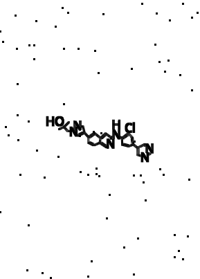 CC(C)(O)Cn1cc(-c2ccc3cnc(Nc4ccc(-c5cncnc5)cc4Cl)cc3c2)cn1